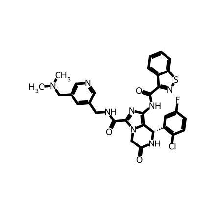 CN(C)Cc1cncc(CNC(=O)c2nc(NC(=O)c3nsc4ccccc34)c3n2CC(=O)N[C@H]3c2cc(F)ccc2Cl)c1